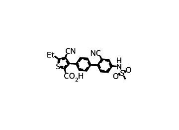 CCc1sc(C(=O)O)c(-c2ccc(-c3ccc(NS(C)(=O)=O)cc3C#N)cc2)c1C#N